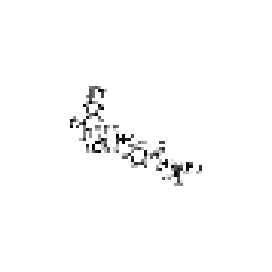 CC(C)c1nc(C(=O)N2CCOC3(CCN(Cc4cccc(C(F)CO[Si](C)(C)C(C)(C)C)c4)CC3)C2)cs1